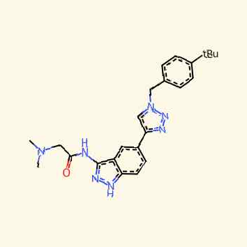 CN(C)CC(=O)Nc1n[nH]c2ccc(-c3cn(Cc4ccc(C(C)(C)C)cc4)nn3)cc12